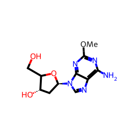 COc1nc(N)c2ncn([C@H]3C[C@H](O)C(CO)O3)c2n1